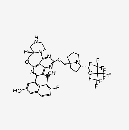 C#Cc1c(F)ccc2cc(O)cc(-c3nc4c5c(nc(OC[C@@]67CCCN6[C@H](COC(C(F)(F)F)(C(F)(F)F)C(F)(F)F)CC7)nc5c3F)N3CCNC[C@H]3CO4)c12